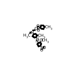 CCN(CCOS(=O)(=O)c1ccc(C)cc1)c1ccc(N=Nc2ccc([N+](=O)[O-])cc2OC)c(C)c1